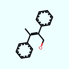 C/C(=C(/C[O])c1ccccc1)c1ccccc1